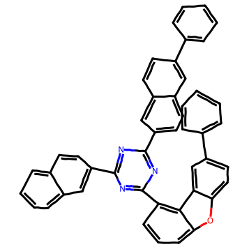 c1ccc(-c2ccc3cc(-c4nc(-c5ccc6ccccc6c5)nc(-c5cccc6oc7ccc(-c8ccccc8)cc7c56)n4)ccc3c2)cc1